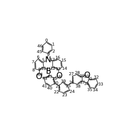 c1ccc(N2c3cccc4c3B3c5c(cccc52)Oc2c(-c5cccc(-c6ccc7oc8ccccc8c7c6)c5)ccc(c23)O4)cc1